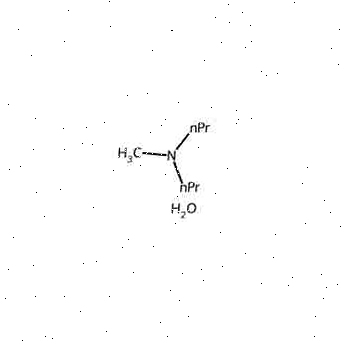 CCCN(C)CCC.O